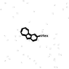 CCCCCCc1ccc2cc3cccccc-3c2c1